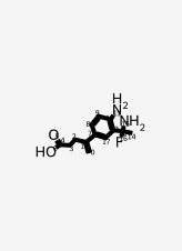 C=C(CCC(=O)O)c1ccc(N)c(C(C)(N)F)c1